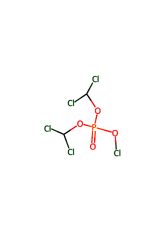 O=P(OCl)(OC(Cl)Cl)OC(Cl)Cl